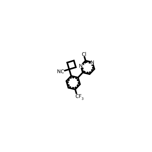 N#CC1(c2ccc(C(F)(F)F)cc2-c2ccnc(Cl)n2)CCC1